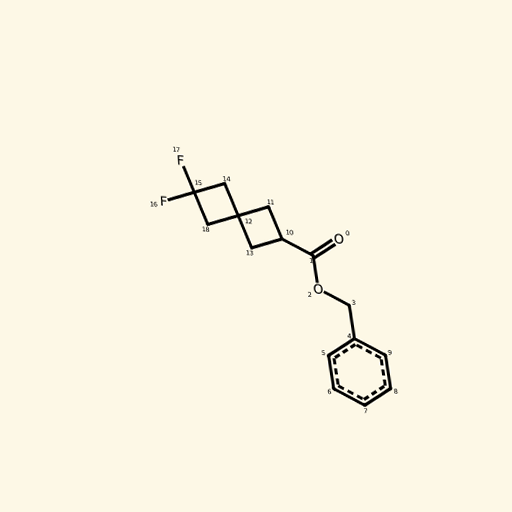 O=C(OCc1ccccc1)C1CC2(C1)CC(F)(F)C2